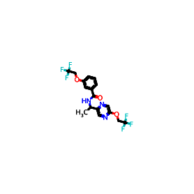 CC(NC(=O)c1cccc(OCC(F)(F)F)c1)c1cnc(OCC(F)(F)F)cn1